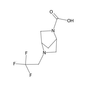 O=C(O)N1CC2CC1CN2CC(F)(F)F